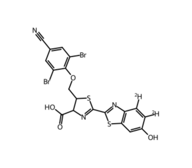 [2H]c1c(O)cc2sc(C3=NC(C(=O)O)C(COc4c(Br)cc(C#N)cc4Br)S3)nc2c1[2H]